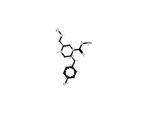 CCSC[C@H]1CN(C(=O)OC(C)(C)C)[C@@H](Cc2ccc(Cl)cc2)CO1